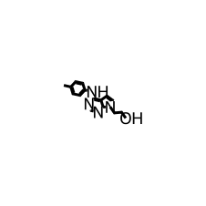 Cc1ccc(Nc2ncnc3c2ccn3CCO)cc1